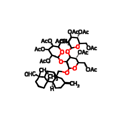 C=C1CC[C@@H]2[C@](CO[C@@H]3OC(COC(C)=O)[C@@H](OC(C)=O)C(O[C@@H]4OC(COC(C)=O)[C@@H](OC(C)=O)C(OC(C)=O)C4OC(C)=O)C3O[C@@H]3OC(C)[C@H](OC(C)=O)C(OC(C)=O)C3OC(C)=O)(CCC3[C@](C)(C=O)CCC[C@]32C)C1